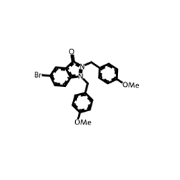 COc1ccc(Cn2c(=O)c3cc(Br)ccc3n2Cc2ccc(OC)cc2)cc1